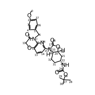 COc1ccc(CN2C(=O)COc3ccc(N4C(=O)O[C@@H]5C[C@H](NC(=O)OC(C)(C)C)CC[C@H]54)nc32)cc1